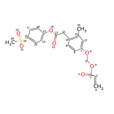 C=CC(=O)OCOc1ccc(CC(=O)Oc2ccc(S(C)(=O)=O)cc2)c(C)c1